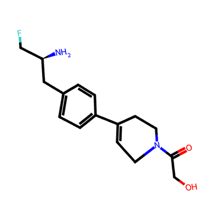 N[C@H](CF)Cc1ccc(C2=CCN(C(=O)CO)CC2)cc1